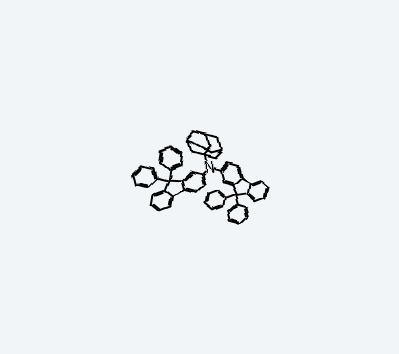 c1ccc(C2(c3ccccc3)c3ccccc3-c3ccc(N(c4ccc5c(c4)C(c4ccccc4)(c4ccccc4)c4ccccc4-5)C45CC6CC(CC(C6)C4)C5)cc32)cc1